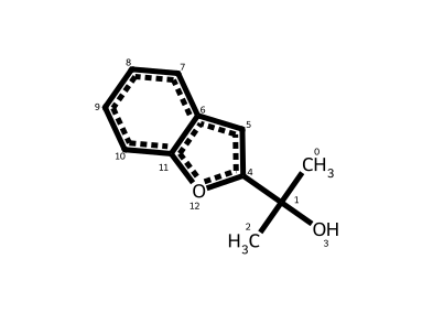 CC(C)(O)c1cc2ccccc2o1